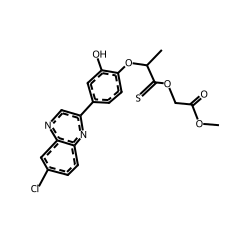 COC(=O)COC(=S)C(C)Oc1ccc(-c2cnc3cc(Cl)ccc3n2)cc1O